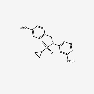 COc1ccc(CN(c2cc(C(=O)O)cnn2)S(=O)(=O)C2CC2)cc1